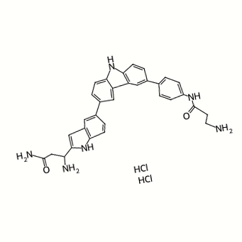 Cl.Cl.NCCC(=O)Nc1ccc(-c2ccc3[nH]c4ccc(-c5ccc6[nH]c(C(N)CC(N)=O)cc6c5)cc4c3c2)cc1